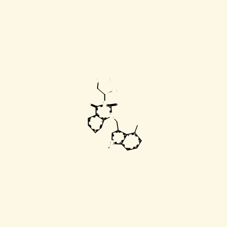 CC[C@H](CC(=O)O)n1c(=O)c2ccccc2n(Cc2cn(C)c3cccc(C)c23)c1=O